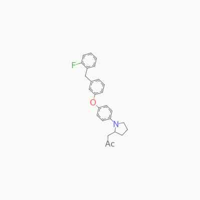 CC(=O)CC1CCCN1c1ccc(Oc2cccc(Cc3ccccc3F)c2)cc1